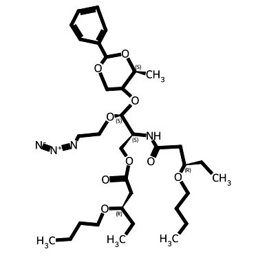 CCCCO[C@H](CC)CC(=O)N[C@@H](COC(=O)C[C@@H](CC)OCCCC)[C@@H](OCCN=[N+]=[N-])OC1COC(c2ccccc2)O[C@H]1C